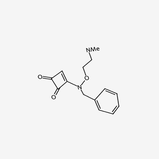 CNCCON(Cc1ccccc1)c1cc(=O)c1=O